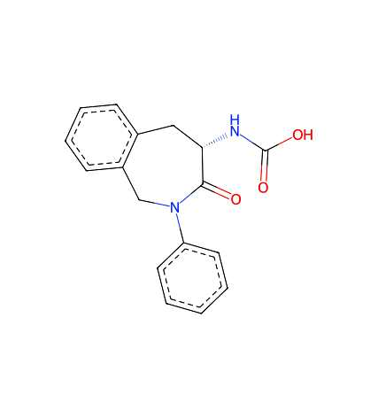 O=C(O)N[C@H]1Cc2ccccc2CN(c2ccccc2)C1=O